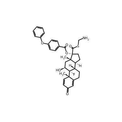 C[C@]12C=CC(=O)C=C1CC[C@H]1[C@@H]3CC[C@](OC(=O)c4ccc(Oc5ccccc5)cc4)(C(=O)SCN)[C@@]3(C)C[C@H](O)[C@@]12F